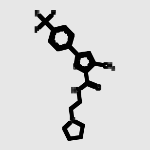 Cc1cc(-c2ccc(C(F)(F)F)cc2)sc1C(=O)NCCN1CCCC1